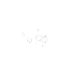 Cc1c(-c2ccc(CN)o2)ccn2c(=O)c(C(=O)[O-])cc(C3CC3)c12.[K+]